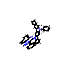 c1ccc(-c2nc3ccccc3nc2-n2c3ccccc3c3cc4c(cc32)c2cc3ccccc3cc2n4-c2ccccc2)cc1